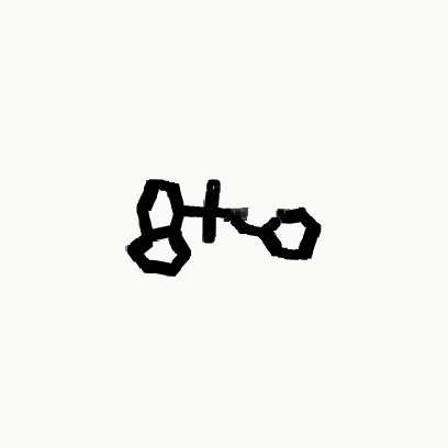 O=S(=O)(NCc1ccccn1)c1cccc2ccccc12